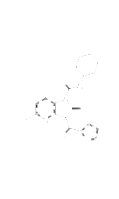 O=C(c1cccs1)C1C(=O)N(C(=O)NC2CCCCC2)c2ccc(Cl)nc21